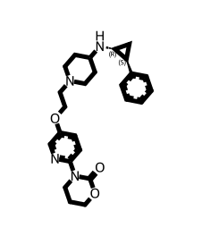 O=C1OCCCN1c1ccc(OCCN2CCC(N[C@@H]3C[C@H]3c3ccccc3)CC2)cn1